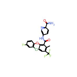 Cc1c(C(F)(F)F)ccc(Oc2ccc(F)cc2Cl)c1C(=O)Nc1ccc(C(N)=O)nc1